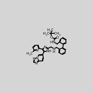 Cc1cccc(-c2nc(CNCc3ccccc3-c3ccccc3CNC(=O)OC(C)(C)C)[nH]c2-c2ccc3ncnn3c2)n1